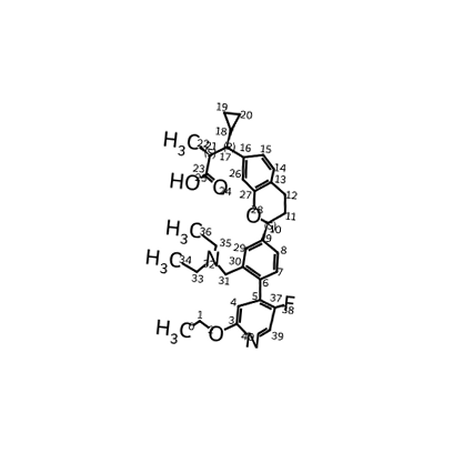 CCOc1cc(-c2ccc([C@@H]3CCc4ccc([C@H](C5CC5)[C@H](C)C(=O)O)cc4O3)cc2CN(CC)CC)c(F)cn1